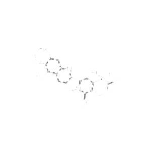 CC[C@@]1(O)C(=O)OCc2c1cc1n(c2=O)Cc2cc3c(C(C)C)c4c(cc3nc2-1)OCCO4